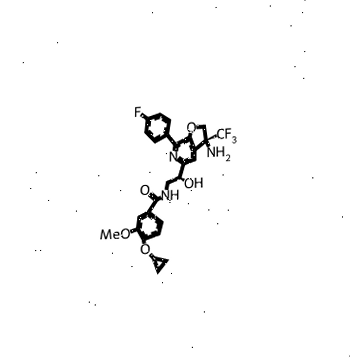 COc1cc(C(=O)NC[C@H](O)c2cc3c(c(-c4ccc(F)cc4)n2)OC[C@@]3(N)C(F)(F)F)ccc1OC1CC1